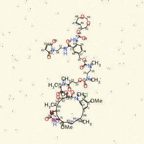 COc1cc2cc(c1Cl)N(C)C(=O)[C@H](OC(=O)[C@H](C)N(C)C(=O)CCOC(=O)N(C)CCN(C)C(=O)OCc1ccc(NC(=O)OC3/C=C/COCOC3)c(C(=O)NCCN3C(=O)C=CC3=O)c1)[C@]1(C)OC1[C@H](C)[C@@H]1C[C@@](O)(NC(=O)O1)[C@H](OC)/C=C/C=C(\C)C2